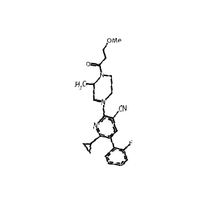 COCCC(=O)N1CCN(c2nc(C3CC3)c(-c3ccccc3F)cc2C#N)CC1C